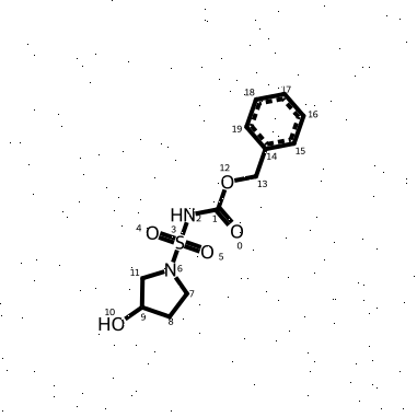 O=C(NS(=O)(=O)N1CCC(O)C1)OCc1ccccc1